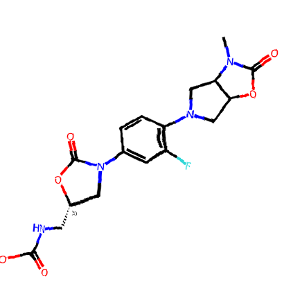 CN1C(=O)OC2CN(c3ccc(N4C[C@H](CNC(=O)O)OC4=O)cc3F)CC21